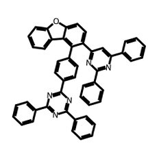 c1ccc(-c2cc(-c3ccc4oc5ccccc5c4c3-c3ccc(-c4nc(-c5ccccc5)nc(-c5ccccc5)n4)cc3)nc(-c3ccccc3)n2)cc1